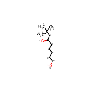 CC(C)(C)CC(=O)CCCCCO